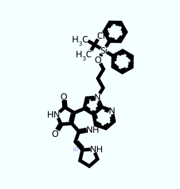 CC(C)(C)[Si](OCCCn1cc(C2=C(C(=N)/C=C3/CCCN3)C(=O)NC2=O)c2cccnc21)(c1ccccc1)c1ccccc1